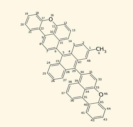 Cc1ccc2c(-c3ccc4c5c(cccc35)Oc3ccccc3-4)c3ccccc3c(-c3ccc4c5c(cccc35)-c3ccccc3O4)c2c1